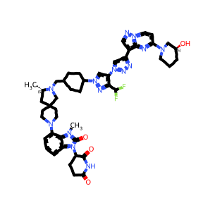 C[C@H]1CC2(CCN(c3cccc4c3n(C)c(=O)n4C3CCC(=O)NC3=O)CC2)CN1CC1CCC(n2cc(-n3cc(-c4cnn5ccc(N6CCC[C@H](O)C6)nc45)nn3)c(C(F)F)n2)CC1